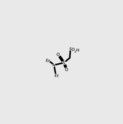 CCN(CC)S(=O)(=O)CS(=O)(=O)O